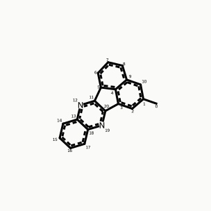 Cc1cc2c3c(cccc3c1)-c1nc3ccccc3nc1-2